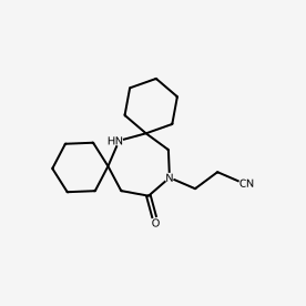 N#CCCN1CC2(CCCCC2)NC2(CCCCC2)CC1=O